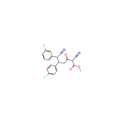 COC(=O)C(C#N)C(=O)CC(c1ccc(F)cc1)C(C#N)c1cccc(F)c1